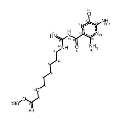 CC(C)(C)OC(=O)COCCCCCCNC(=N)NC(=O)c1nc(Cl)c(N)nc1N